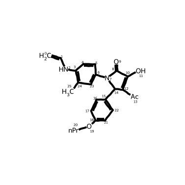 C=CNc1ccc(N2C(=O)C(O)=C(C(C)=O)C2c2ccc(OCCC)cc2)cc1C